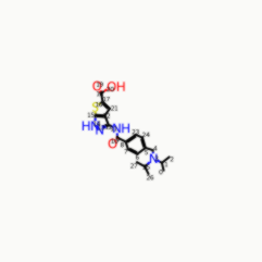 CC(C)N(Cc1ccc(C(=O)Nc2n[nH]c3sc(C(=O)O)cc23)cc1)C(C)C